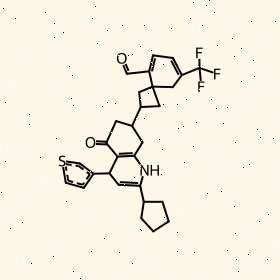 O=CC1=CC=C(C(F)(F)F)CC12CC(C1CC(=O)C3=C(C1)NC(C1CCCC1)=CC3c1ccsc1)C2